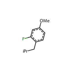 COc1ccc(CC(C)C)c(F)c1